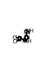 Clc1ccc(-c2n[nH]c3ccc(-c4nc[nH]n4)cc23)cc1Cl